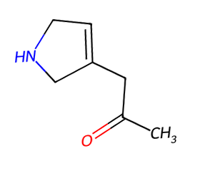 CC(=O)CC1=CCNC1